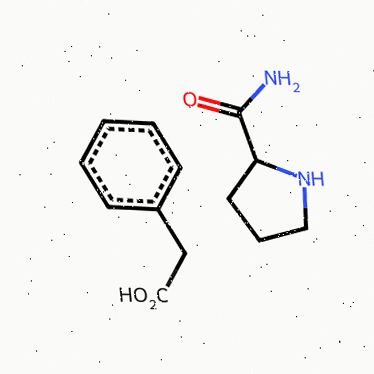 NC(=O)C1CCCN1.O=C(O)Cc1ccccc1